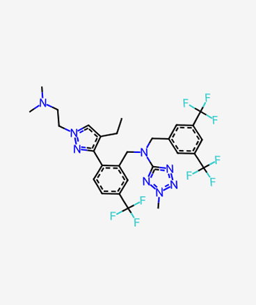 CCc1cn(CCN(C)C)nc1-c1ccc(C(F)(F)F)cc1CN(Cc1cc(C(F)(F)F)cc(C(F)(F)F)c1)c1nnn(C)n1